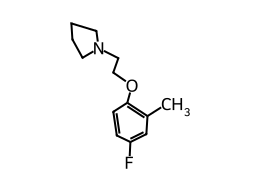 Cc1cc(F)ccc1OCCN1CCCC1